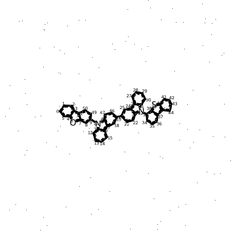 c1ccc2c(c1)oc1cc(-n3c4ccccc4c4cc(-c5ccc6c(c5)c5ccccc5n6-c5cccc6c5sc5ccccc56)ccc43)ccc12